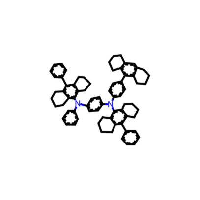 c1ccc(-c2c3c(c(N(c4ccccc4)c4ccc(N(c5ccc(-c6c7c(cc8c6CCCC8)CCCC7)cc5)c5c6c(c(-c7ccccc7)c7c5CCCC7)CCCC6)cc4)c4c2CCCC4)CCCC3)cc1